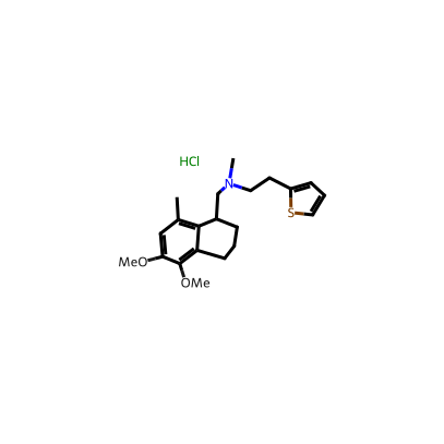 COc1cc(C)c2c(c1OC)CCCC2CN(C)CCc1cccs1.Cl